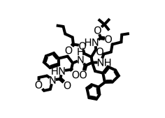 CCCCCC(=O)NC(Cc1ccccc1-c1ccccc1)(C(=O)NC(Cc1ccccc1)C(=O)NC(=O)N1CCOCC1)C(CNC(=O)OC(C)(C)C)COC(=O)CCCC